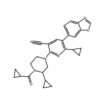 N#Cc1cc(-c2ccc3ncoc3c2)c(C2CC2)nc1N1CCN(C(=O)C2CC2)C(C2CC2)C1